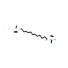 CCCCCCCCCCN1C=CN(C(Cl)CCCCCCCCCCC(Cl)N2C=CN(CCCCCCCCCC)C2C)C1C